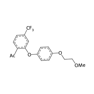 COCCOc1ccc(Oc2cc(C(F)(F)F)ccc2C(C)=O)cc1